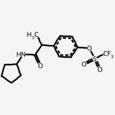 CC(C(=O)NC1CCCC1)c1ccc(OS(=O)(=O)C(F)(F)F)cc1